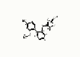 CCSc1cc(CC)ccc1-c1ccccc1Cc1nc(=O)o[nH]1